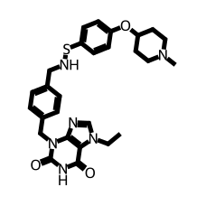 CCn1cnc2c1c(=O)[nH]c(=O)n2Cc1ccc(CNSc2ccc(OC3CCN(C)CC3)cc2)cc1